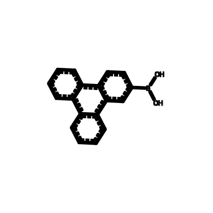 OB(O)c1ccc2c3ccccc3c3ccccc3c2c1